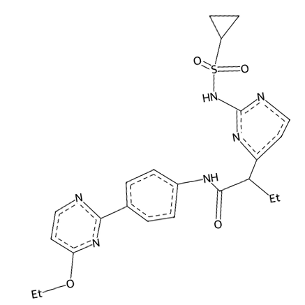 CCOc1ccnc(-c2ccc(NC(=O)C(CC)c3ccnc(NS(=O)(=O)C4CC4)n3)cc2)n1